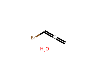 C=C=CBr.O